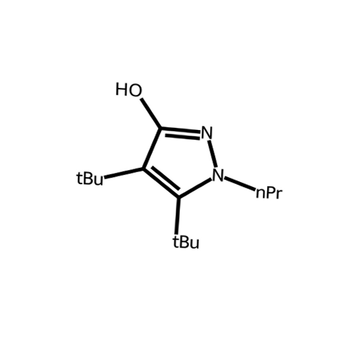 CCCn1nc(O)c(C(C)(C)C)c1C(C)(C)C